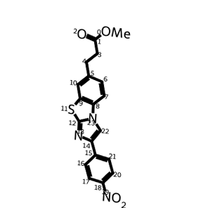 COC(=O)CCc1ccc2c(c1)sc1nc(-c3ccc([N+](=O)[O-])cc3)cn12